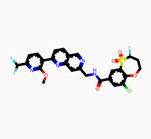 COc1nc(C(F)F)ccc1-c1ccc2cnc(CNC(=O)c3cc(Cl)c4c(c3)S(=O)(=O)[C@@H](F)CCO4)cc2n1